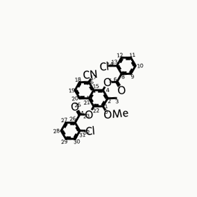 COc1c(C)c(OC(=O)c2ccccc2Cl)c2c(C#N)cccc2c1OC(=O)c1ccccc1Cl